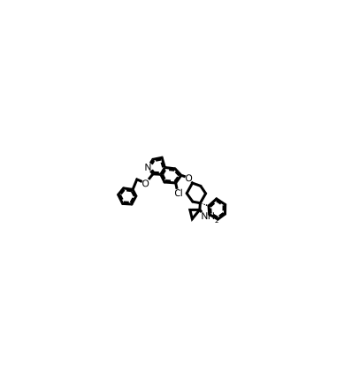 NC1([C@]2(c3ccccc3)CC[C@H](Oc3cc4ccnc(OCc5ccccc5)c4cc3Cl)CC2)CC1